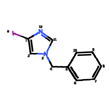 Ic1cn(Cc2ccccc2)cn1